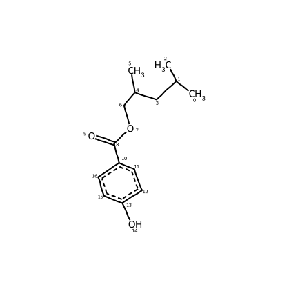 CC(C)CC(C)COC(=O)c1ccc(O)cc1